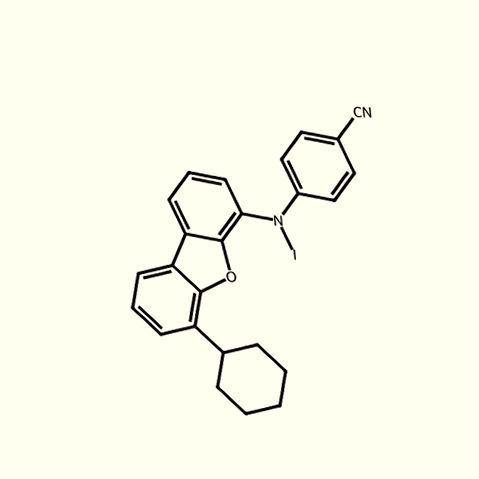 N#Cc1ccc(N(I)c2cccc3c2oc2c(C4CCCCC4)cccc23)cc1